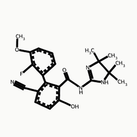 COc1cccc(-c2c(C#N)ccc(O)c2C(=O)NC2=NC(C)(C)C(C)(C)N2)c1F